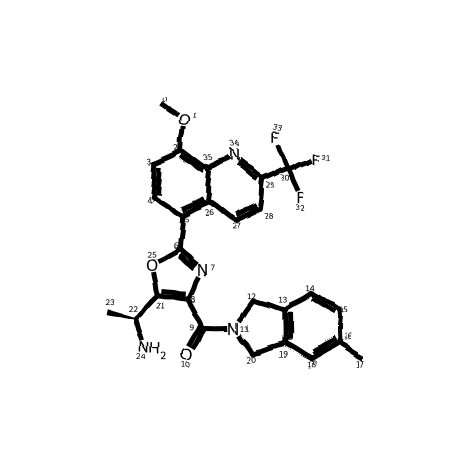 COc1ccc(-c2nc(C(=O)N3Cc4ccc(C)cc4C3)c([C@H](C)N)o2)c2ccc(C(F)(F)F)nc12